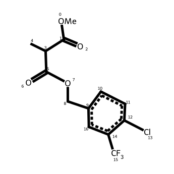 COC(=O)C(C)C(=O)OCc1ccc(Cl)c(C(F)(F)F)c1